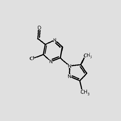 Cc1cc(C)n(-c2cnc(C=O)c(Cl)n2)n1